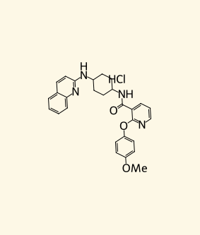 COc1ccc(Oc2ncccc2C(=O)NC2CCC(Nc3ccc4ccccc4n3)CC2)cc1.Cl